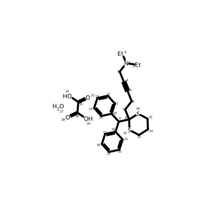 CCN(CC)CC#CCCC1(C(c2ccccc2)c2ccccc2)SCCCS1.O.O=C(O)C(=O)O